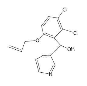 C=CCOc1ccc(Cl)c(Cl)c1C(O)c1cccnc1